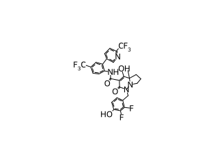 CC12CCCN1N(Cc1ccc(O)c(F)c1F)C(=O)C(C(=O)Nc1ccc(C(F)(F)F)cc1-c1ccc(C(F)(F)F)nc1)=C2O